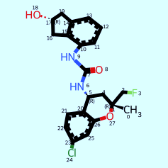 C[C@]1(CF)C[C@@H](NC(=O)Nc2cccc3c2C[C@H](O)C3)c2ccc(Cl)cc2O1